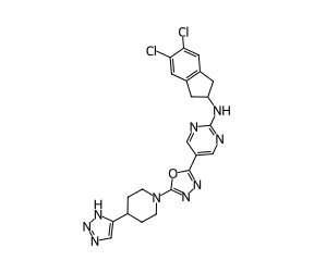 Clc1cc2c(cc1Cl)CC(Nc1ncc(-c3nnc(N4CCC(c5cnn[nH]5)CC4)o3)cn1)C2